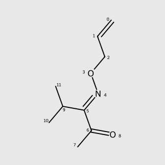 C=CCO/N=C(/C(C)=O)C(C)C